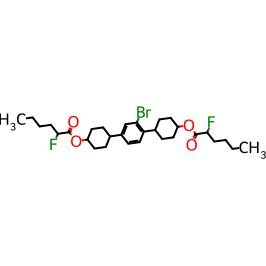 CCCCC(F)C(=O)OC1CCC(c2ccc(C3CCC(OC(=O)C(F)CCCC)CC3)c(Br)c2)CC1